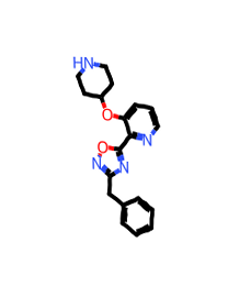 c1ccc(Cc2noc(-c3ncccc3OC3CCNCC3)n2)cc1